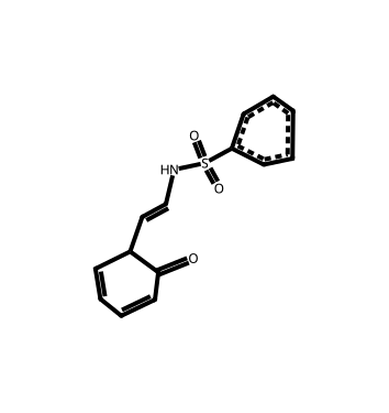 O=C1C=CC=CC1C=CNS(=O)(=O)c1ccccc1